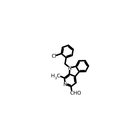 Cc1nc(C=O)cc2c3ccccc3n(Cc3ccccc3Cl)c12